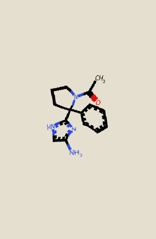 CC(=O)N1CCCC1(c1ccccc1)c1nc(N)c[nH]1